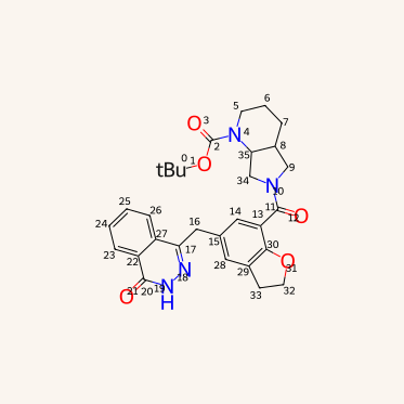 CC(C)(C)OC(=O)N1CCCC2CN(C(=O)c3cc(Cc4n[nH]c(=O)c5ccccc45)cc4c3OCC4)CC21